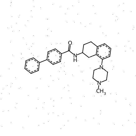 CN1CCN(c2cccc3c2CC(NC(=O)c2ccc(-c4ccccc4)cc2)CC3)CC1